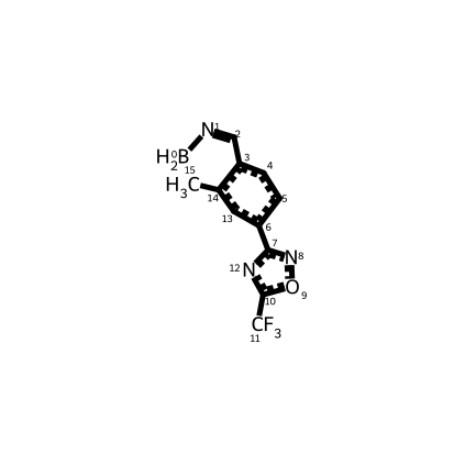 B/N=C\c1ccc(-c2noc(C(F)(F)F)n2)cc1C